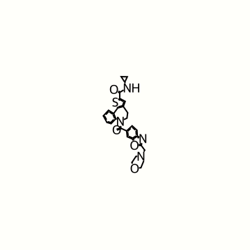 O=C(NC1CC1)c1cc2c(s1)-c1ccccc1N(C(=O)c1ccc3nc(CN4CCOCC4)oc3c1)CC2